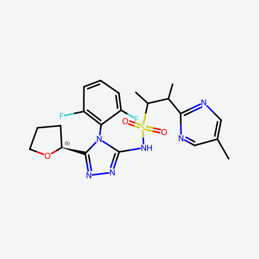 Cc1cnc(C(C)C(C)S(=O)(=O)Nc2nnc([C@@H]3CCCO3)n2-c2c(F)cccc2F)nc1